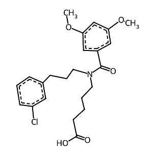 COc1cc(OC)cc(C(=O)N(CCCCC(=O)O)CCCc2cccc(Cl)c2)c1